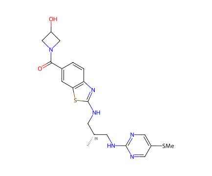 CSc1cnc(NC[C@H](C)CNc2nc3ccc(C(=O)N4CC(O)C4)cc3s2)nc1